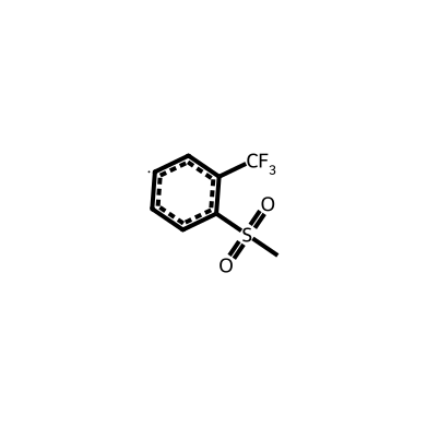 CS(=O)(=O)c1cc[c]cc1C(F)(F)F